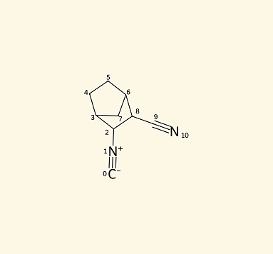 [C-]#[N+]C1C2CCC(C2)C1C#N